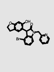 O=C1C(c2cc3c(cc2O)OCC3)c2c(Br)cccc2N1Cc1ccccn1